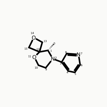 C[C@@H]1N(c2cccnc2)CCOC12COC2